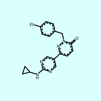 CCc1ccc(Cn2nc(-c3cnc(NC4CC4)nc3)ccc2=O)cc1